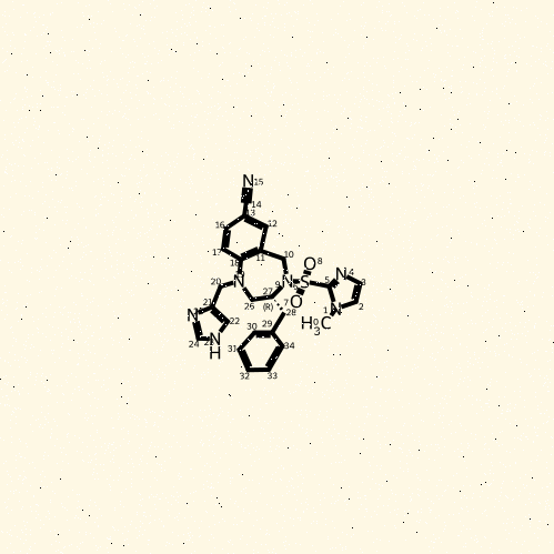 Cn1ccnc1S(=O)(=O)N1Cc2cc(C#N)ccc2N(Cc2c[nH]cn2)C[C@H]1Cc1ccccc1